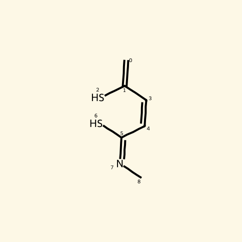 C=C(S)/C=C\C(S)=N/C